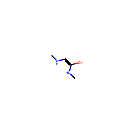 CN/C=C(/O)NC